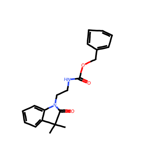 CC1(C)C(=O)N(CCNC(=O)OCc2ccccc2)c2ccccc21